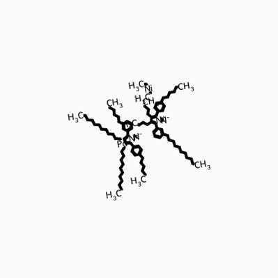 CCCCCCCCCCC[CH2][Pd][CH2]CCCCCCCCCCC.CCCCCCCCCCCc1cccc(C2=C(CCCC)C(CCCC)=C(c3ccc(CCCCCC)cc3)[N+]2=[N-])c1.CCCCCCc1ccc(C2=CC=C(c3cccc(CCCCCC)c3)[N+]2=[N-])cc1.C[CH2][Ni][CH2]C